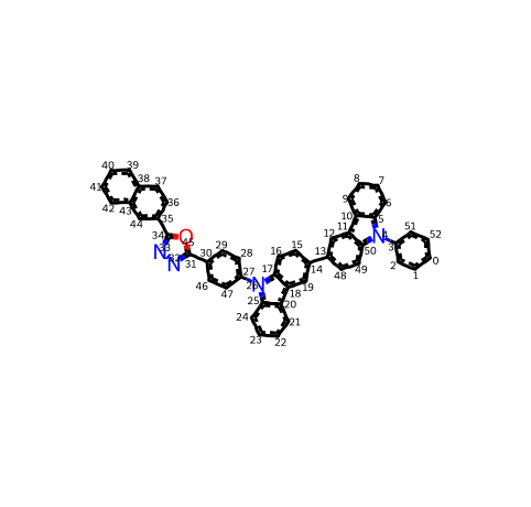 c1ccc(-n2c3ccccc3c3cc(-c4ccc5c(c4)c4ccccc4n5-c4ccc(-c5nnc(-c6ccc7ccccc7c6)o5)cc4)ccc32)cc1